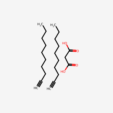 C#CCCCCCCCC.C#CCCCCCCCC.O=C(O)CC(=O)O